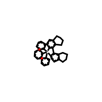 c1ccc(P2(c3ccccc3)(c3ccccc3)c3ccc4c(c3-c3c2ccc2c3CCCC2)CCCC4)cc1